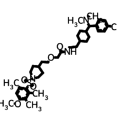 COc1cc(C)c(S(=O)(=O)N2CCC(CCOCC(=O)NCCC3CCC(C(c4ccc(Cl)cc4)N(C)C)CC3)CC2)c(C)c1C